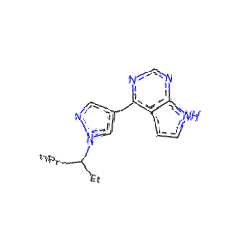 CCCC(CC)n1cc(-c2ncnc3[nH]ccc23)cn1